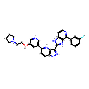 Fc1cccc(-c2nccc3[nH]c(-c4n[nH]c5ccc(-c6cncc(OCCN7CCCC7)c6)nc45)nc23)c1